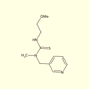 COCCNC(=S)N(C)Cc1cccnc1